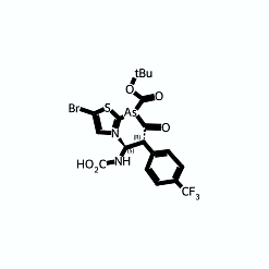 C[C@H](NC(=O)O)[C@H](C(=O)[As](C(=O)OC(C)(C)C)c1ncc(Br)s1)c1ccc(C(F)(F)F)cc1